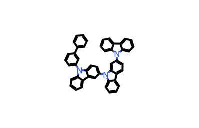 c1ccc(-c2cccc(-n3c4ccccc4c4cc(-n5c6ccccc6c6ccc(-n7c8ccccc8c8ccccc87)cc65)ccc43)c2)cc1